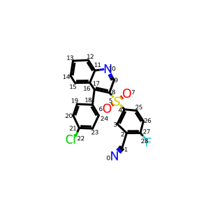 N#Cc1cc(S(=O)(=O)c2cnc3ccccc3c2-c2ccc(Cl)cc2)ccc1F